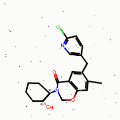 Cc1cc2c(cc1Cc1ccc(Cl)nc1)C(=O)N([C@@H]1CCCC[C@H]1O)CO2